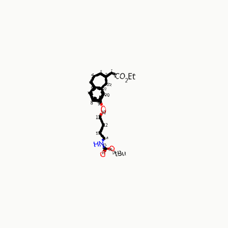 CCOC(=O)CC1CCCc2ccc(OCCCCNC(=O)OC(C)(C)C)cc2C1